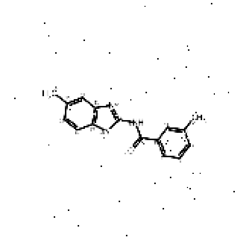 Cc1cccc(C(=O)Nc2nc3cc(C)ccc3s2)c1